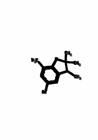 CC(=O)c1cc(C)c2c(c1)C(C)C(C)(C)O2